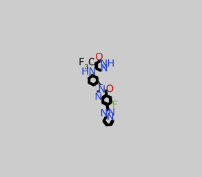 O=c1[nH]ncc(N[C@H]2CCC[C@@H](Cn3cnc4cc(-c5nc6ccccn6n5)c(F)cc4c3=O)C2)c1C(F)(F)F